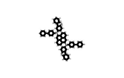 c1ccc(-c2ccc(N(c3ccc4sc5ccccc5c4c3)c3cc4cccc5c(N(c6ccc(-c7ccccc7)cc6)c6ccc7sc8ccccc8c7c6)cc6cccc3c6c45)cc2)cc1